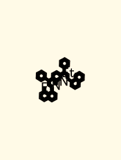 CCc1cccc2cccc(-c3cc(-c4ccccc4)c4ccc5c(-c6ccccc6)cc(-c6cccc7cccc(CC)c67)nc5c4n3)c12